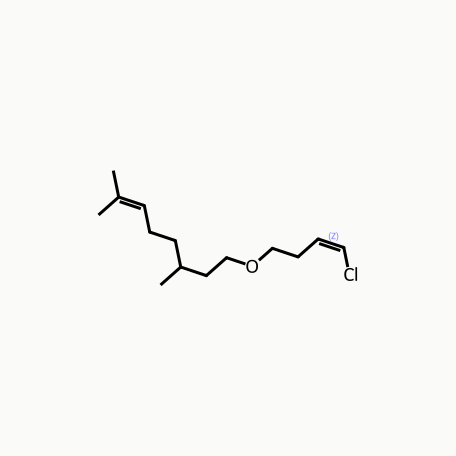 CC(C)=CCCC(C)CCOCC/C=C\Cl